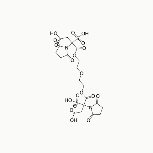 O=C(O)CC(C(=O)OCCOCCOC(=O)C(CC(=O)O)(N1C(=O)CCC1=O)S(=O)(=O)O)(N1C(=O)CCC1=O)S(=O)(=O)O